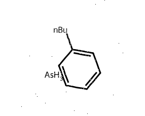 CCCCc1ccccc1.[AsH3]